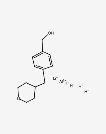 OCc1ccc(CC2CCOCC2)cc1.[Al+3].[H-].[H-].[H-].[H-].[Li+]